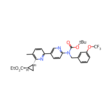 CCOC(=O)[C@@H]1C[C@H]1c1nc(-c2ccc(N(Cc3cccc(OC(F)(F)F)c3)C(=O)OC(C)(C)C)nc2)ccc1C